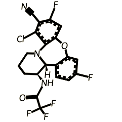 N#Cc1c(F)cc2c(c1Cl)N1CCC[C@H](NC(=O)C(F)(F)F)[C@H]1c1ccc(F)cc1O2